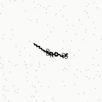 CCCCCCCC/C=C/C(=O)Oc1ccc(-c2ccc(CCC(C)OC(=O)CC)cc2)nc1